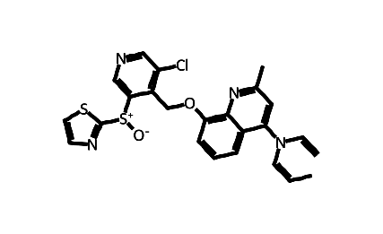 C=CN(/C=C\C)c1cc(C)nc2c(OCc3c(Cl)cncc3[S+]([O-])c3nccs3)cccc12